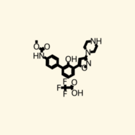 COC(=O)Nc1ccc(-c2cccc(-c3cc(N4CCNCC4)no3)c2O)cc1.O=C(O)C(F)(F)F